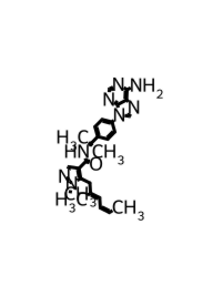 C/C=C\C=C(/C)Cc1c(C(=O)NC(C)(C)c2ccc(-n3cnc4c(N)ncnc43)cc2)cnn1C